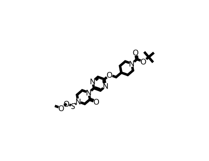 COOSN1CCN(c2cnc(OCC3CCN(C(=O)OC(C)(C)C)CC3)cn2)C(=O)C1